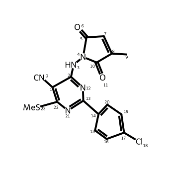 [C-]#[N+]c1c(NN2C(=O)C=C(C)C2=O)nc(-c2ccc(Cl)cc2)nc1SC